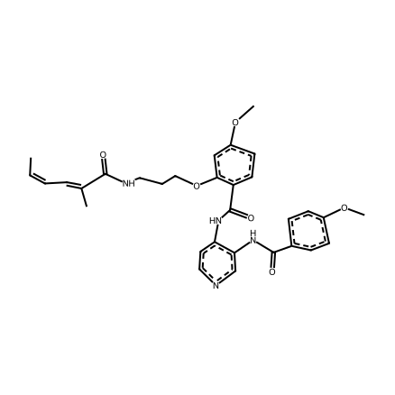 C/C=C\C=C(/C)C(=O)NCCCOc1cc(OC)ccc1C(=O)Nc1ccncc1NC(=O)c1ccc(OC)cc1